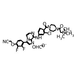 C[N+](C)(C)CC(=O)N1CCN(C(=O)c2ccc(Nc3nccn4c(-c5ccc(OCC#N)c(F)c5F)cnc34)cc2Cl)CC1.O=C[O-]